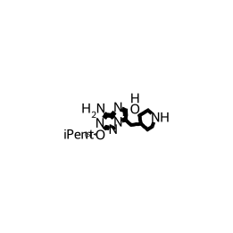 CCC[C@H](C)Oc1nc(N)c2ncc(CC3CCNCC3O)n2n1